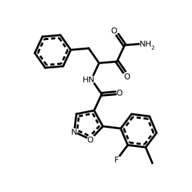 Cc1cccc(-c2oncc2C(=O)NC(Cc2ccccc2)C(=O)C(N)=O)c1F